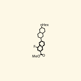 CCCCCCC1CCC2CC(c3ccc4cc(C(=O)OC)cc(F)c4c3)CCC2C1